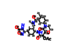 CC(=O)O[C@@H](C(=O)Nc1ccc(-c2noc(=O)[nH]2)cc1)[C@H]1OCCN(c2ccc(C)c(C(=O)N(C)C)c2)C1=O